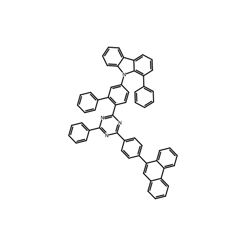 c1ccc(-c2nc(-c3ccc(-c4cc5ccccc5c5ccccc45)cc3)nc(-c3ccc(-n4c5ccccc5c5cccc(-c6ccccc6)c54)cc3-c3ccccc3)n2)cc1